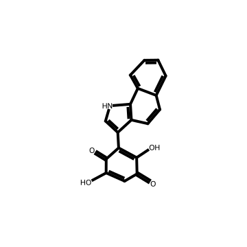 O=C1C=C(O)C(=O)C(c2c[nH]c3c2ccc2ccccc23)=C1O